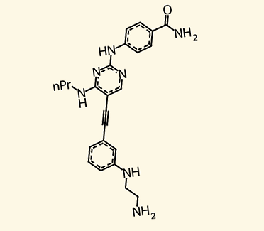 CCCNc1nc(Nc2ccc(C(N)=O)cc2)ncc1C#Cc1cccc(NCCN)c1